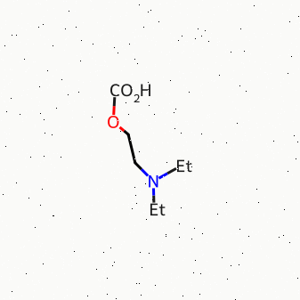 CCN(CC)CCOC(=O)O